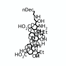 CCCCCCCCCCCCNCC(O)C1OC(OC(CO)C(O)C2OC(OC(CO)C(O)C3O[C@@](O)(C(=O)O)CC(O)C3NC(=O)CC)(C(=O)O)CC(O)C2NC(=O)CC)(C(=O)O)CC(O)C1N